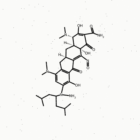 CC(C)CC(CC(C)C)N(N)c1cc(N(C)C)c2c(c1O)C(=O)C1=C(N=O)[C@]3(O)C(=O)C(C(N)=O)=C(O)[C@@H](N(C)C)[C@@H]3C[C@@H]1C2